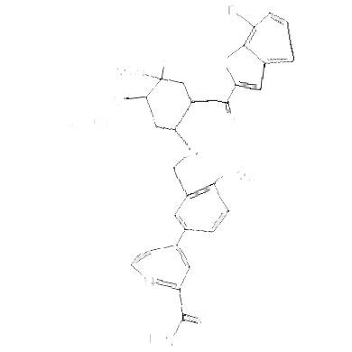 CNC1(F)CC(C(=O)c2cc3cccc(F)c3s2)C(NCc2cc(-c3ccnc(C(N)=O)c3)ccc2OC)CC1Cl.Cl.Cl